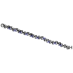 B=B\B=B/B=B\B=B/B=B\B=B/B=B\B=B/B=B\B=B/B=B\B=O